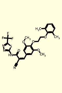 COc1cc(C=C(C#N)C(=O)Nc2nnc(C(F)(F)F)s2)cc(OC)c1OCCOc1c(C)cccc1C